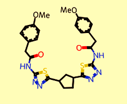 COc1ccc(CC(=O)Nc2nnc(C3CCC(c4nnc(NC(=O)Cc5ccc(OC)cc5)s4)C3)s2)cc1